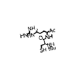 CC(=O)C(CCCNC(=N)N)NC(=O)C(CS)NC(C)(C)C